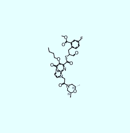 CCCCOc1c(C(=O)SC(C=O)Cc2ccc(F)cc2C(=O)OC)nc2n(CC(=O)N3C[C@H](C)O[C@@H](C)C3)ccn2c1=O